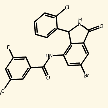 O=C(Nc1cc(Br)cc2c1C(c1ccccc1Cl)NC2=O)c1cc(F)cc(C(F)(F)F)c1